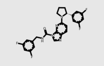 O=C(NCc1cc(F)cc(F)c1)n1cnc2ccc(N3CCC[C@@H]3c3cc(F)cc(F)c3)nc21